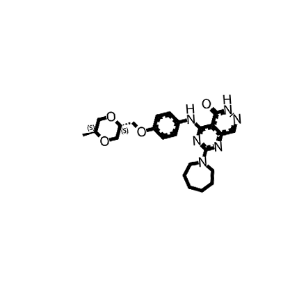 C[C@H]1CO[C@H](COc2ccc(Nc3nc(N4CCCCCC4)nc4cn[nH]c(=O)c34)cc2)CO1